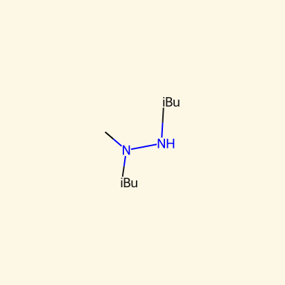 CCC(C)NN(C)C(C)CC